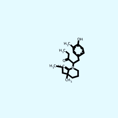 C=C1N(C(Cc2ccc(O)c(C)c2)C(=O)CC)CCCC1(C)CCC